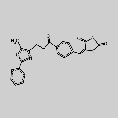 Cc1oc(-c2ccccc2)nc1CCC(=O)c1ccc(/C=C2/OC(=O)NC2=O)cc1